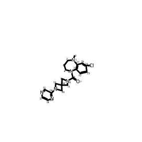 CN1CCCN(C(=O)N2CC3(C2)CN(c2cnccn2)C3)c2ccc(Cl)cc21